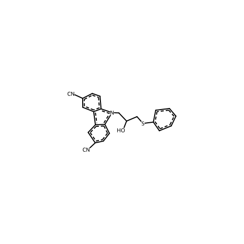 [C-]#[N+]c1ccc2c(c1)c1cc([N+]#[C-])ccc1n2CC(O)CSc1ccccc1